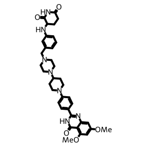 COc1cc(OC)c2c(=O)[nH]c(-c3ccc(N4CCC(N5CCN(Cc6cccc(NC7CCC(=O)NC7=O)c6)CC5)CC4)cc3)nc2c1